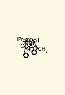 CC(C)C[C@@H](NC(=O)[C@@H](Cc1ccccc1)NC(=O)CN(C[C@@H](C)c1ccccc1)C(=O)OC(C)(C)C)C(=O)O